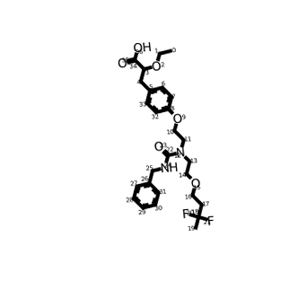 CCOC(Cc1ccc(OCCN(CCOCCC(C)(F)F)C(=O)NCc2ccccc2)cc1)C(=O)O